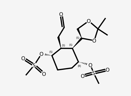 CC1(C)OC[C@H]([C@@H]2[C@H](CC=O)[C@@H](OS(C)(=O)=O)CC[C@H]2OS(C)(=O)=O)O1